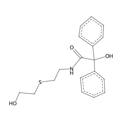 O=C(NCCSCCO)C(O)(c1ccccc1)c1ccccc1